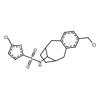 O=S(=O)(NC1C2CCC1Cc1cc(CCl)ccc1C2)c1ccc(Cl)s1